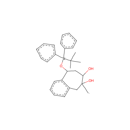 [CH2]C1(O)Cc2ccccc2C(O[Si](c2ccccc2)(c2ccccc2)C(C)(C)C)CC1O